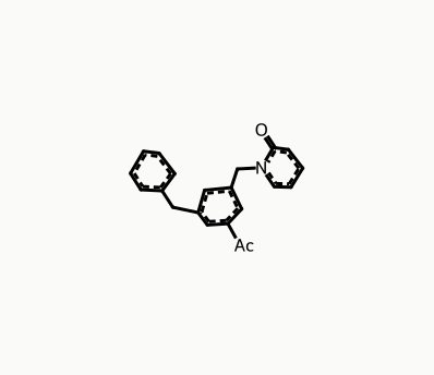 CC(=O)c1cc(Cc2ccccc2)cc(Cn2ccccc2=O)c1